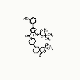 CC(C)(C)OC(=O)Nc1sc(-c2cccc(O)c2)cc1C(=O)N1CCC(N2CCCC3(C2)CC(C)(C)OC3=O)CC1